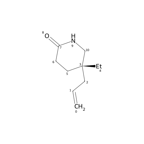 C=CC[C@]1(CC)CCC(=O)NC1